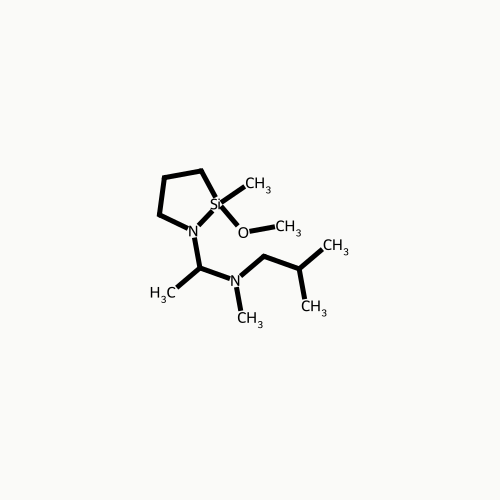 CO[Si]1(C)CCCN1C(C)N(C)CC(C)C